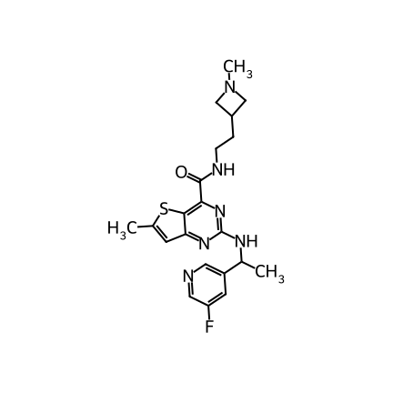 Cc1cc2nc(NC(C)c3cncc(F)c3)nc(C(=O)NCCC3CN(C)C3)c2s1